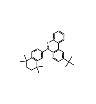 CC(C)(C)c1ccc(Nc2ccc3c(c2)C(C)(C)CCC3(C)C)c(-c2ccccc2F)c1